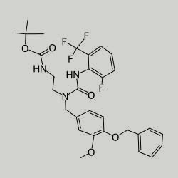 COc1cc(CN(CCNC(=O)OC(C)(C)C)C(=O)Nc2c(F)cccc2C(F)(F)F)ccc1OCc1ccccc1